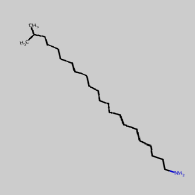 CC(C)CCCCCCCCCCCCCCCCCCCCN